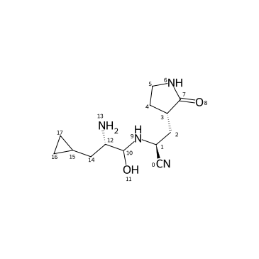 N#C[C@H](C[C@@H]1CCNC1=O)NC(O)[C@@H](N)CC1CC1